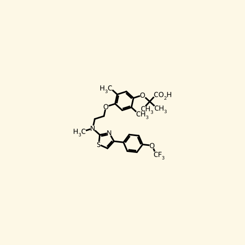 Cc1cc(OC(C)(C)C(=O)O)c(C)cc1OCCN(C)c1nc(-c2ccc(OC(F)(F)F)cc2)cs1